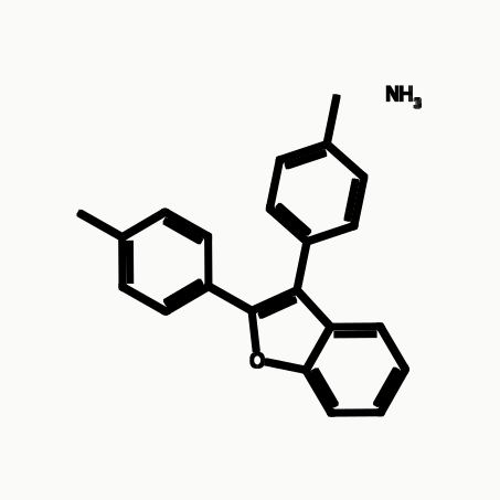 Cc1ccc(-c2oc3ccccc3c2-c2ccc(C)cc2)cc1.N